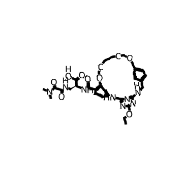 CCOc1nc2nc(n1)Nc1ccc(C(=O)N[C@@H](CNC(=O)C(=O)N(C)C)C(=O)O)c(c1)OCCCCCCOc1ccc(cc1)CN2